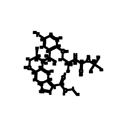 CCOC(=O)c1cnn2cc3c(nc12)N([C@H](C)c1cc(F)cnc1OC[C@@H](C)NC(=O)OC(C)(C)C)[C@H](C)CO3